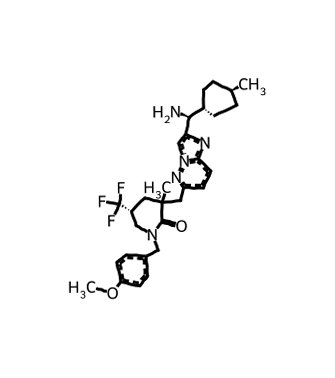 COc1ccc(CN2C[C@H](C(F)(F)F)CC(C)(Cc3ccc4nc([C@@H](N)[C@H]5CC[C@H](C)CC5)cn4n3)C2=O)cc1